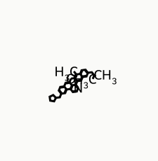 Cc1c2c(cc3cc(CC(C)C)ccc13)-c1nccc3c1c(cc1ccc(CC4CCCC4)cc13)O2